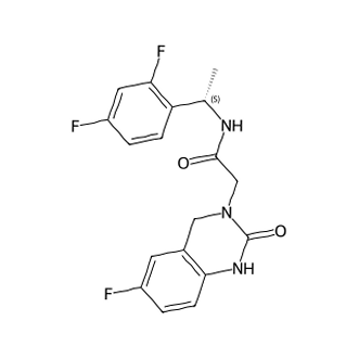 C[C@H](NC(=O)CN1Cc2cc(F)ccc2NC1=O)c1ccc(F)cc1F